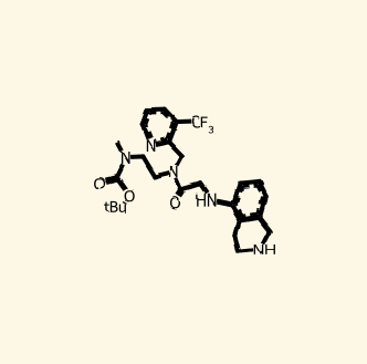 CN(CCN(Cc1ncccc1C(F)(F)F)C(=O)CNc1cccc2c1CCNC2)C(=O)OC(C)(C)C